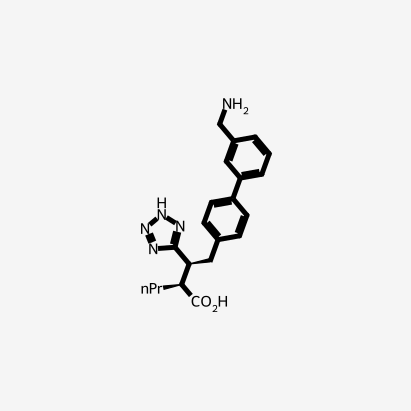 CCC[C@H](C(=O)O)[C@H](Cc1ccc(-c2cccc(CN)c2)cc1)c1nn[nH]n1